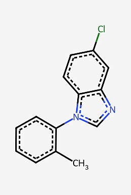 Cc1ccccc1-n1cnc2cc(Cl)ccc21